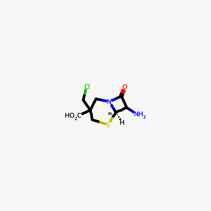 NC1C(=O)N2CC(CCl)(C(=O)O)CS[C@H]12